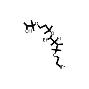 CCC(OC(C)(C)CCOC(C)(C)C(C)O)C(C)(CC)C(C)C(C)(C)OCCC(C)C